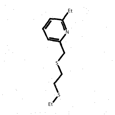 CCSCCSCc1cccc(CC)n1